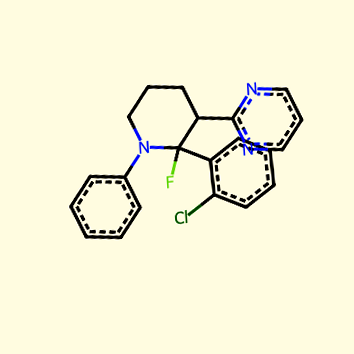 FC1(c2ccccc2Cl)C(c2ncccn2)CCCN1c1ccccc1